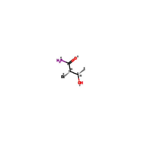 CC[C@H](C(=O)P)[C@H](C)O